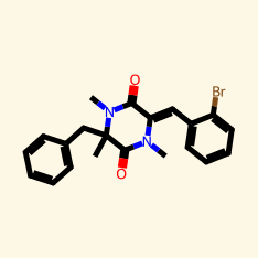 CN1C(=O)C(C)(Cc2ccccc2)N(C)C(=O)C1=Cc1ccccc1Br